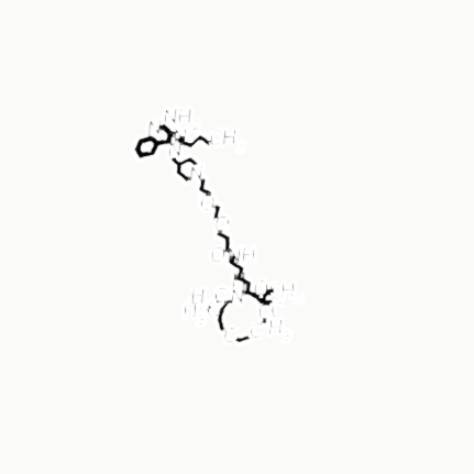 CCCCc1nc2c(N)nc3ccccc3c2n1CC1CCN(CCCOCCOCCC(=O)NCCCCC2NC(C)C(C)CCCCCCCCC(CC)(CC)C2=O)CC1